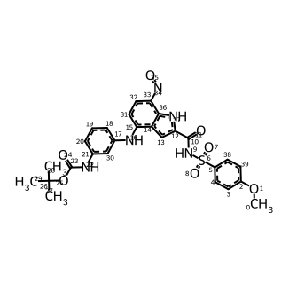 COc1ccc(S(=O)(=O)NC(=O)c2cc3c(Nc4cccc(NC(=O)OC(C)(C)C)c4)ccc(N=O)c3[nH]2)cc1